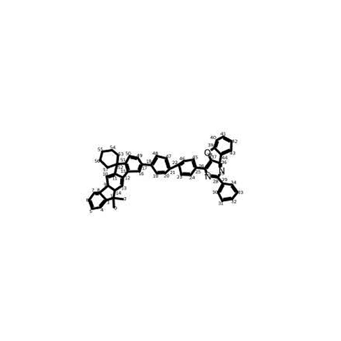 CC1(C)c2ccccc2C2C=C3C(=CC21)c1cc(-c2ccc(-c4ccc(-c5nc(-c6ccccc6)nc6c5oc5ccccc56)cc4)cc2)ccc1C31CCCCC1